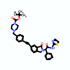 CC(C)(C)OC(=O)N1CCN(Cc2ccc(C#Cc3ccc4c(c3)C(=O)N(C(C(=O)Nc3nccs3)c3ccccc3)C4)cc2)CC1